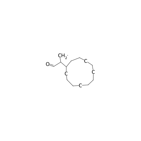 [CH2]C(C=O)C1CCCCCCCCCCC1